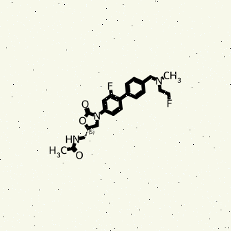 CC(=O)NC[C@H]1CN(c2ccc(-c3ccc(CN(C)CCF)cc3)c(F)c2)C(=O)O1